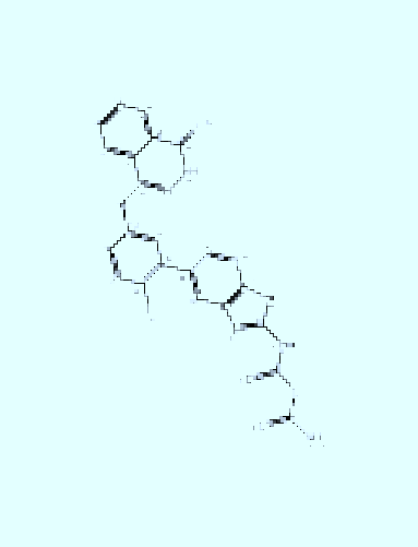 NC(=O)OC(=O)Nc1nc2cc(-c3cc(Cc4n[nH]c(=O)c5ccccc45)ccc3F)cnc2[nH]1